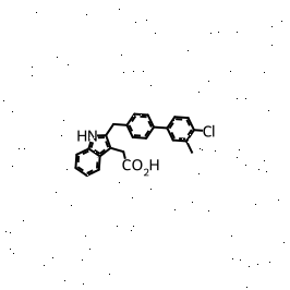 Cc1cc(-c2ccc(Cc3[nH]c4ccccc4c3CC(=O)O)cc2)ccc1Cl